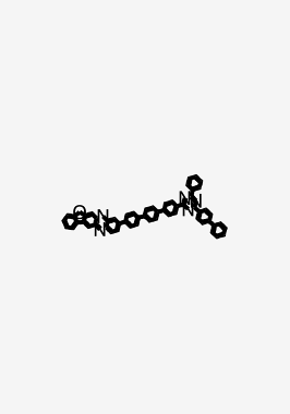 c1ccc(-c2ccc(-c3nc(-c4ccccc4)nc(-c4ccc(-c5ccc(-c6ccc(-c7ccc8nc9cc%10c(cc9nc8c7)oc7ccccc7%10)cc6)cc5)cc4)n3)cc2)cc1